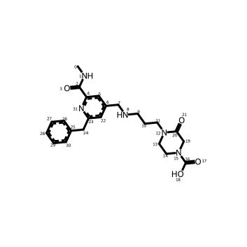 CNC(=O)c1cc(CNCCCN2CCN(C(=O)O)CC2=O)cc(Cc2ccccc2)n1